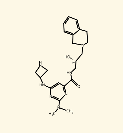 CN(C)c1nc(NC2CNC2)cc(C(=O)NC[C@H](O)CN2CCc3ccccc3C2)n1